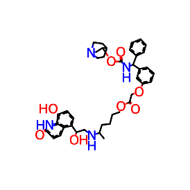 CC(CCCCOC(=O)COc1cccc(C(NC(=O)OC2CN3CCC2CC3)c2ccccc2)c1)NCC(O)c1ccc(O)c2[nH]c(=O)ccc12